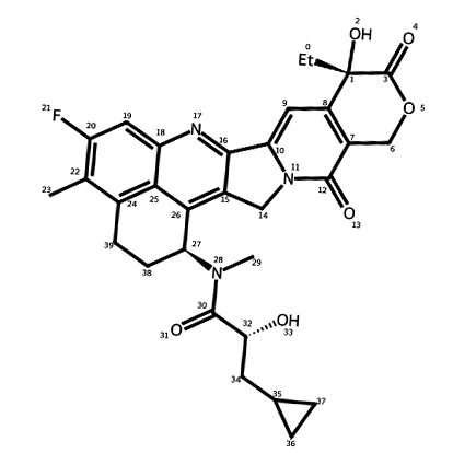 CC[C@@]1(O)C(=O)OCc2c1cc1n(c2=O)Cc2c-1nc1cc(F)c(C)c3c1c2[C@@H](N(C)C(=O)[C@H](O)CC1CC1)CC3